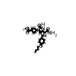 CCCCOc1ccc(-c2nc(C(N)=O)c3[nH]c(=O)n(-c4ccc(C(=O)OC)cc4)c3n2)cc1